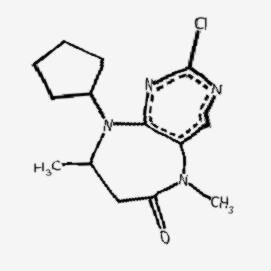 CC1CC(=O)N(C)c2cnc(Cl)nc2N1C1CCCC1